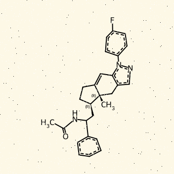 CC(=O)NC(C[C@H]1CCC2=Cc3c(cnn3-c3ccc(F)cc3)C[C@@]21C)c1ccccc1